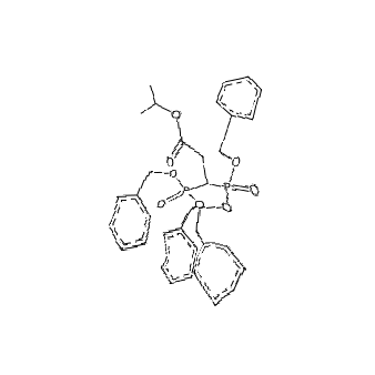 CC(C)OC(=O)CC(P(=O)(OCc1ccccc1)OCc1ccccc1)P(=O)(OCc1ccccc1)OCc1ccccc1